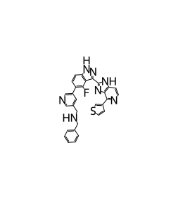 Fc1c(-c2cncc(CNCc3ccccc3)c2)ccc2[nH]nc(-c3nc4c(-c5ccsc5)nccc4[nH]3)c12